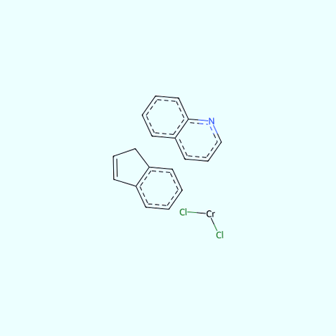 C1=Cc2ccccc2C1.[Cl][Cr][Cl].c1ccc2ncccc2c1